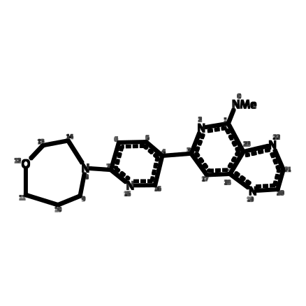 CNc1nc(-c2ccc(N3CCCOCC3)nc2)cc2nccnc12